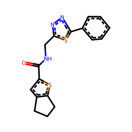 O=C(NCc1nnc(-c2ccccc2)s1)c1cc2c(s1)CCC2